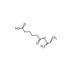 C=CC(=C)OC(=O)CCCCC(=O)O